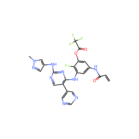 C=CC(=O)Nc1cc(Nc2nc(Nc3cnn(C)c3)ncc2-c2cncnc2)c(F)c(OC(=O)C(F)(F)F)c1